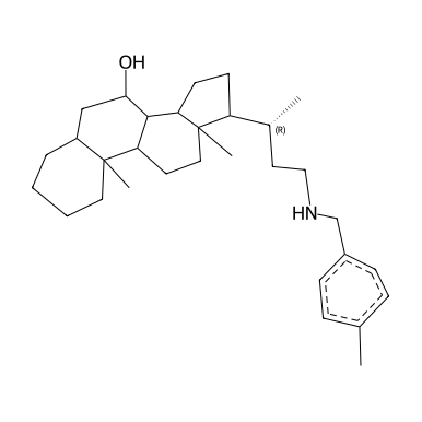 Cc1ccc(CNCC[C@@H](C)C2CCC3C4C(O)CC5CCCCC5(C)C4CCC32C)cc1